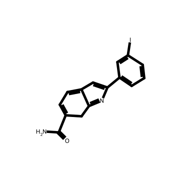 NC(=O)C1=CC=C2C=C(c3cccc(I)c3)N=C2C1